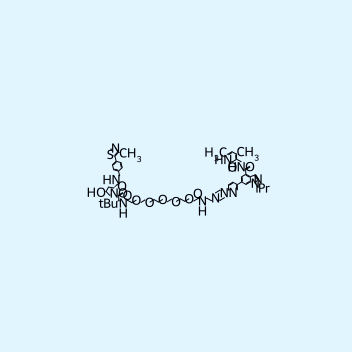 Cc1cc(C)c(CNC(=O)c2cc(-c3ccc(N4CCN(CCNC(=O)COCCOCCOCCOCCOCC(=O)N[C@H](C(=O)N5C[C@H](O)C[C@H]5C(=O)NCc5ccc(-c6scnc6C)cc5)C(C)(C)C)CC4)nc3)cc3c2cnn3C(C)C)c(=O)[nH]1